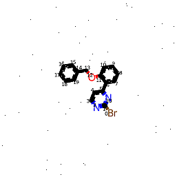 Brc1nccc(-c2ccccc2OCc2ccccc2)n1